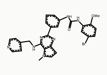 COc1ccc(Br)cc1NC(=O)Nc1cccc(-c2nc(NCc3ccncc3)c3c(ccn3C)n2)c1